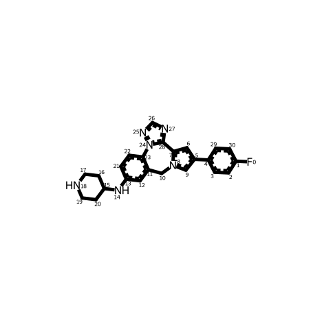 Fc1ccc(-c2cc3n(c2)Cc2cc(NC4CCNCC4)ccc2-n2ncnc2-3)cc1